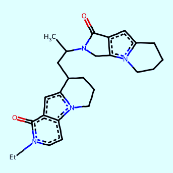 CCn1ccc2c(cc3n2CCCC3CC(C)N2Cc3c(cc4n3CCCC4)C2=O)c1=O